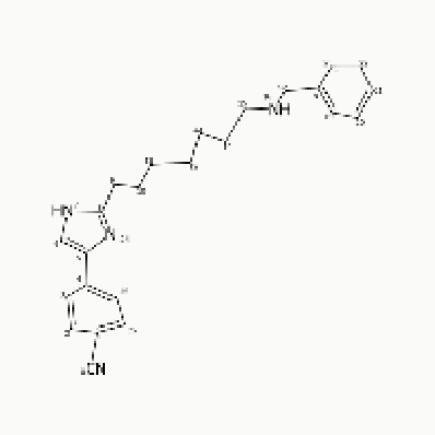 N#Cc1ccc(-c2c[nH]c(CCCCCCCNCc3ccccc3)n2)cc1